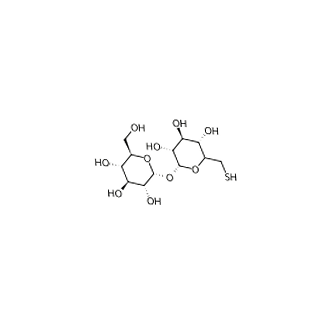 OC[C@H]1O[C@H](O[C@H]2OC(CS)[C@@H](O)[C@H](O)[C@H]2O)[C@H](O)[C@@H](O)[C@@H]1O